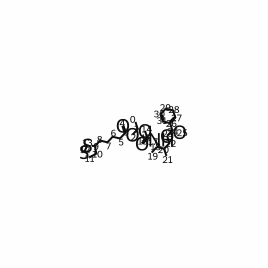 CC(OC(=O)CCCCC1CCSS1)OC(=O)NC(C)C(C)COC(=O)C1=CCCC=C1